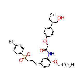 CCc1ccc(S(=O)(=O)CCCc2ccc(OCC(=O)O)c(NC(=O)COc3ccc(C(CO)CC(C)=O)cc3)c2)cc1